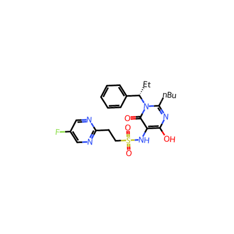 CCCCc1nc(O)c(NS(=O)(=O)CCc2ncc(F)cn2)c(=O)n1[C@@H](CC)c1ccccc1